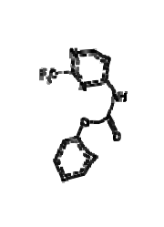 O=C(Nc1ccnc(C(F)(F)F)n1)Oc1ccccc1